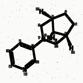 NC1[C@@H]2CC[C@H]1CN(c1cccnc1)C2